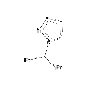 C[CH]C([C](C)C)n1cccn1